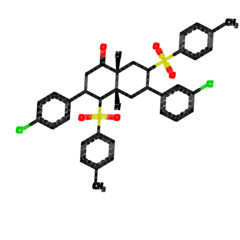 Cc1ccc(S(=O)(=O)C2C[C@H]3C(=O)CC(c4ccc(Cl)cc4)C(S(=O)(=O)c4ccc(C)cc4)[C@H]3CC2c2cccc(Cl)c2)cc1